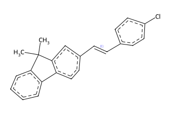 CC1(C)c2ccccc2-c2ccc(/C=C/c3ccc(Cl)cc3)cc21